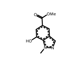 COC(=O)c1cc(O)c2c(cnn2C)c1